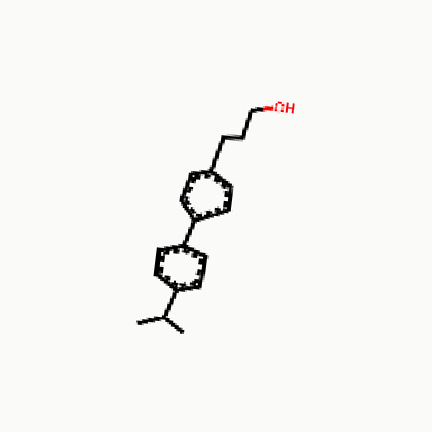 CC(C)c1ccc(-c2ccc(CCCO)cc2)cc1